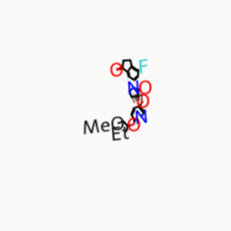 CCC(COC)Oc1ccc(O[C@@H]2CCN(c3cc(F)c4c(c3)C(=O)CC4)C2=O)cn1